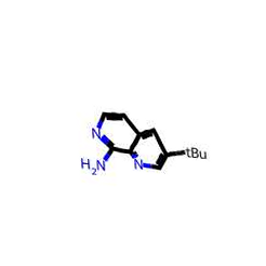 CC(C)(C)c1cnc2c(N)nccc2c1